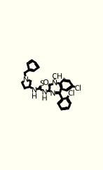 CN1C(=O)C(NC(=S)NC2CCN(Cc3ccccc3)C2)N=C(c2ccccc2Cl)c2cc(Cl)ccc21